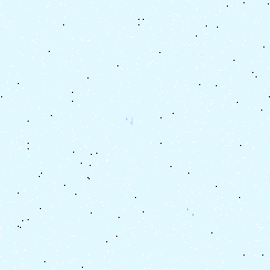 Cc1c2ccncc2cc2c3cc(O)ccc3n(Cc3ccccc3)c12